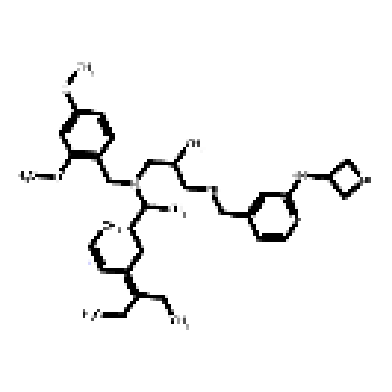 C/C=C\C(CCC(C)N(Cc1ccc(OC)cc1OC)CC(C)CNCc1ccnc(NC2CNC2)c1)=C(CC)CC